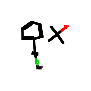 CC(C)(C)[O-].[Cl][Mg][c]1ccccc1.[Na+]